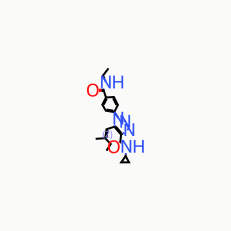 CCNC(=O)c1ccc(-n2nnc(C(=O)NC3CC3)c2/C=C(/C)CC)cc1